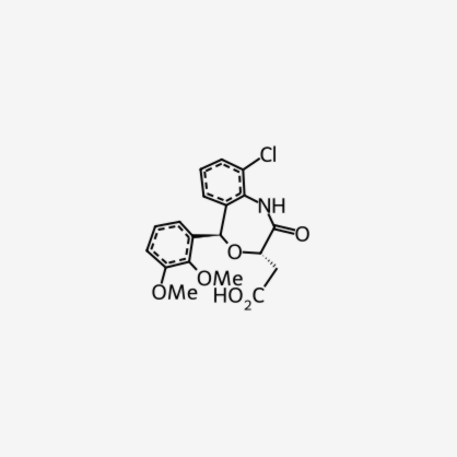 COc1cccc([C@@H]2O[C@@H](CC(=O)O)C(=O)Nc3c(Cl)cccc32)c1OC